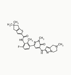 Cc1c(-c2cc(Nc3cc4n(n3)CCN(C)C4)c(=O)n(C)n2)ccc(F)c1NC(=O)c1cc2c(s1)CC(C)(C)C2